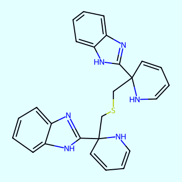 C1=CNC(CSCC2(c3nc4ccccc4[nH]3)C=CC=CN2)(c2nc3ccccc3[nH]2)C=C1